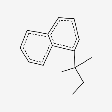 CCC(C)(C)c1cccc2ccccc12